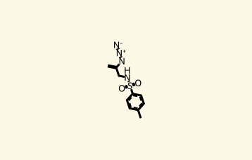 C=C(CNS(=O)(=O)c1ccc(C)cc1)N=[N+]=[N-]